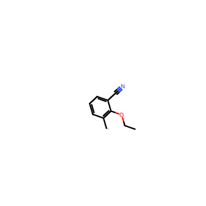 [CH2]c1cccc(C#N)c1OCC